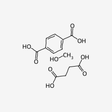 CO.O=C(O)CCC(=O)O.O=C(O)c1ccc(C(=O)O)cc1